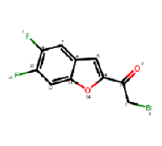 O=C(CBr)c1cc2cc(F)c(F)cc2o1